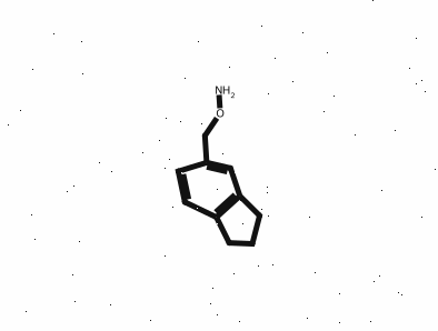 NOCc1ccc2c(c1)CCC2